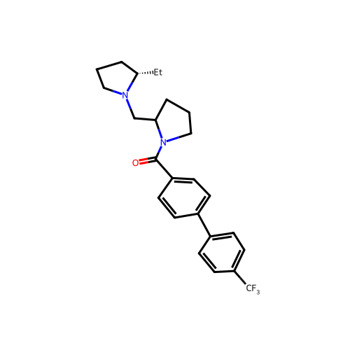 CC[C@H]1CCCN1CC1CCCN1C(=O)c1ccc(-c2ccc(C(F)(F)F)cc2)cc1